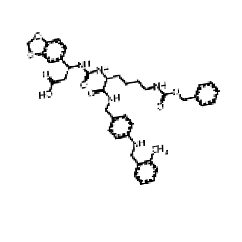 Cc1ccccc1CNc1ccc(CNC(=O)[C@H](CCCCNC(=O)OCc2ccccc2)NC(=O)N[C@@H](CC(=O)O)c2ccc3c(c2)OCO3)cc1